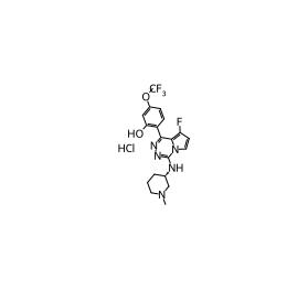 CN1CCC[C@@H](Nc2nnc(-c3ccc(OC(F)(F)F)cc3O)c3c(F)ccn23)C1.Cl